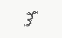 O=C(O)CPCO